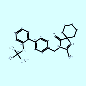 CCCCC1=NC2(CCCCC2)C(=O)N1Cc1ccc(-c2ccccc2OC(C)(C)C(=O)OCC)cc1